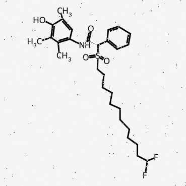 Cc1cc(NC(=O)[C@H](c2ccccc2)S(=O)(=O)CCCCCCCCCCCC(F)F)c(C)c(C)c1O